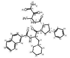 CC(C)C(NC(=O)[C@@H]1C[C@H](c2ccccc2)CN1C(=O)C(CC1CCCCC1)NC(=O)c1ccc2ccccc2c1)C(=O)C(N)=O